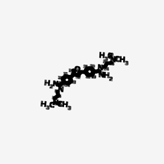 CN(C)CCCN=C(N)c1ccc(-c2coc(-c3ccc(C(N)=NCCCN(C)C)cc3)c2)cc1